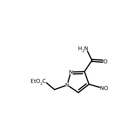 CCOC(=O)Cn1cc(N=O)c(C(N)=O)n1